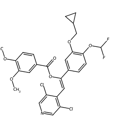 COc1ccc(C(=O)OC(=Cc2c(Cl)cncc2Cl)c2ccc(OC(F)F)c(OCC3CC3)c2)cc1OC